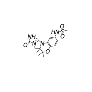 CC1(C)Oc2ccc(NS(C)(=O)=O)cc2N2CN(C(N)=O)CC21C